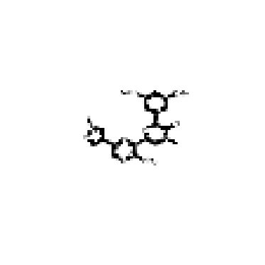 COc1cc(OC)cc(-c2nc(-c3nc(-c4cnn(C)c4)cnc3N)cn(C)c2=O)c1